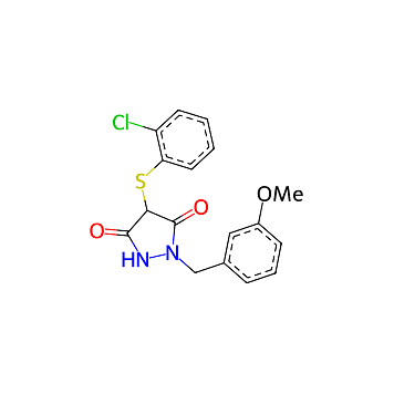 COc1cccc(CN2NC(=O)C(Sc3ccccc3Cl)C2=O)c1